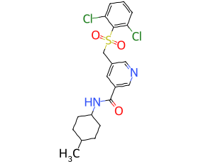 CC1CCC(NC(=O)c2cncc(CS(=O)(=O)c3c(Cl)cccc3Cl)c2)CC1